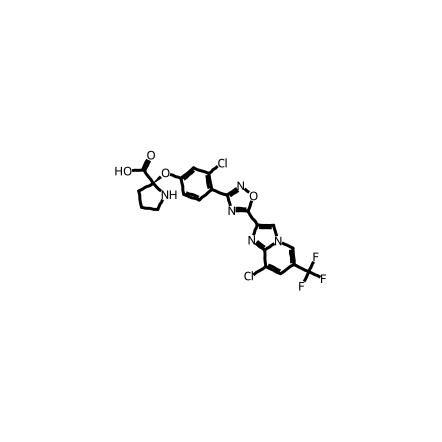 O=C(O)[C@@]1(Oc2ccc(-c3noc(-c4cn5cc(C(F)(F)F)cc(Cl)c5n4)n3)c(Cl)c2)CCCN1